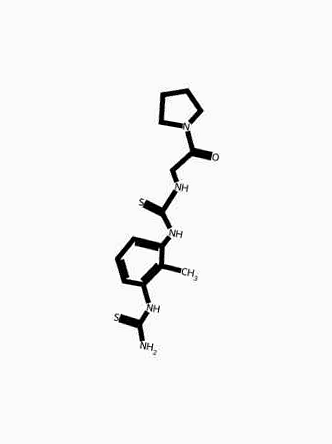 Cc1c(NC(N)=S)cccc1NC(=S)NCC(=O)N1CCCC1